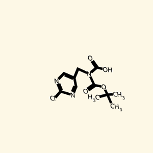 CC(C)(C)OC(=O)N(Cc1cnc(Cl)nc1)C(=O)O